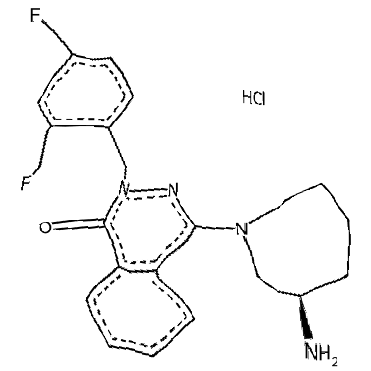 Cl.N[C@@H]1CCCCN(c2nn(-c3ccc(F)cc3F)c(=O)c3ccccc23)C1